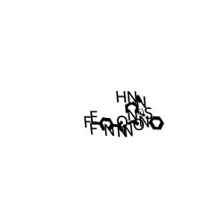 O=C(c1nnc(-c2ccc(C(F)(F)F)cn2)o1)N1CCc2[nH]cnc2[C@H]1c1nc2ccccc2s1